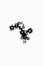 Cc1oc(-c2ccccc2)nc1CCC(=O)c1ccc(C[C@@]2(C(=O)OCc3ccccc3)SC(=O)NC2=O)cc1